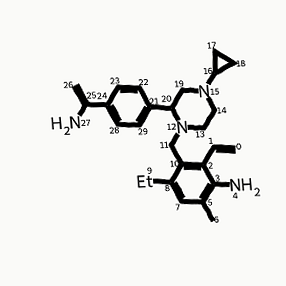 C=Cc1c(N)c(C)cc(CC)c1CN1CCN(C2CC2)CC1c1ccc(C(=C)N)cc1